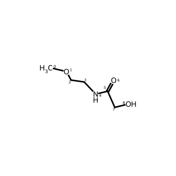 COCCNC(=O)CO